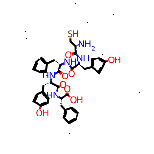 N[C@@H](CS)C(=O)N[C@@H](Cc1ccc(O)cc1)C(=O)N[C@@H](Cc1ccccc1)C(=O)N[C@@H](Cc1ccc(O)cc1)C(=O)N[C@@H](Cc1ccccc1)C(=O)O